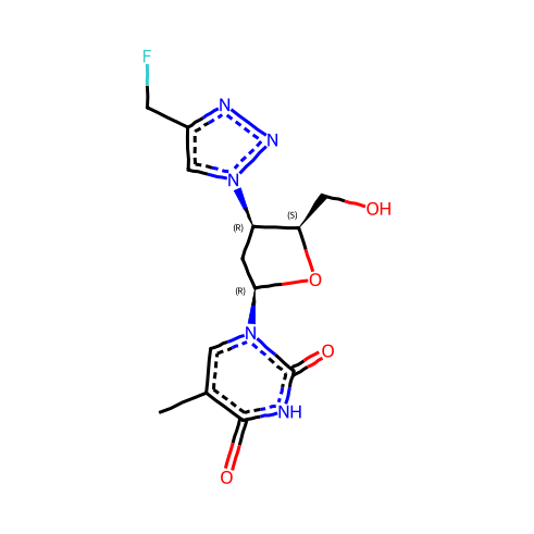 Cc1cn([C@H]2C[C@@H](n3cc(CF)nn3)[C@@H](CO)O2)c(=O)[nH]c1=O